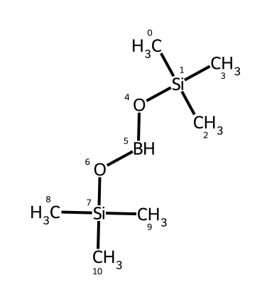 C[Si](C)(C)OBO[Si](C)(C)C